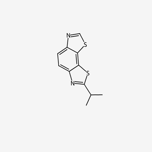 CC(C)c1nc2ccc3ncsc3c2s1